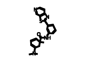 CN(C)C1=CC=CC(C)(C(=O)Nc2cccc(-c3nc4ccncc4s3)c2)C1